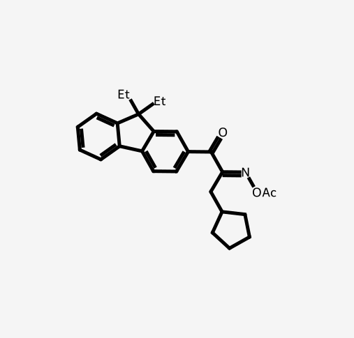 CCC1(CC)c2ccccc2-c2ccc(C(=O)/C(CC3CCCC3)=N/OC(C)=O)cc21